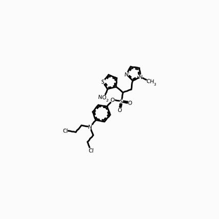 Cn1ccnc1CC(c1ccsc1[N+](=O)[O-])S(=O)(=O)Oc1ccc(N(CCCl)CCCl)cc1